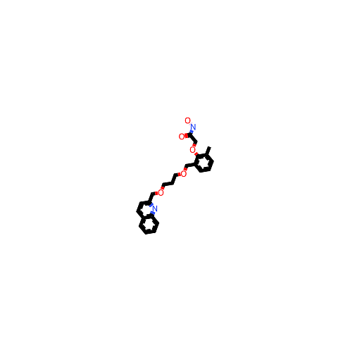 Cc1cccc(COCCCOCc2ccc3ccccc3n2)c1OCC(=O)N=O